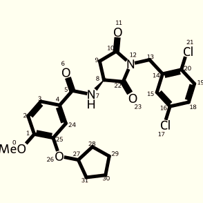 COc1ccc(C(=O)N[C@H]2CC(=O)N(Cc3cc(Cl)ccc3Cl)C2=O)cc1OC1CCCC1